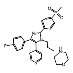 C1COCCN1.CCCn1c(-c2ccc(S(C)(=O)=O)cc2)nc(-c2ccc(F)cc2)c1-c1ccncc1